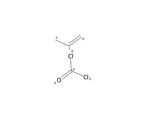 C=CC.O=C(Cl)Cl